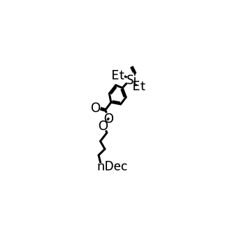 [CH2]CCCCCCCCCCCCCOOC(=O)c1ccc([Si](C=C)(CC)CC)cc1